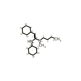 CCCCN(C)/C(=C/C1CCCCC1)NC1CCCCC1